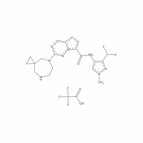 Cn1cc(NC(=O)c2ccc3cnc(N4CCNCC5(CC5)C4)nn23)c(C(F)F)n1.O=C(O)C(F)(F)F